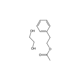 CC(=O)OCCc1ccccc1.OCCO